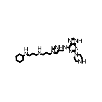 c1nc2c(NCc3cn(CCCNCCCNC4CCCCC4)nn3)nc(N3CCNCC3)nc2[nH]1